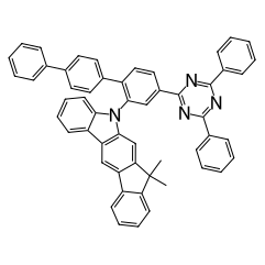 CC1(C)c2ccccc2-c2cc3c4ccccc4n(-c4cc(-c5nc(-c6ccccc6)nc(-c6ccccc6)n5)ccc4-c4ccc(-c5ccccc5)cc4)c3cc21